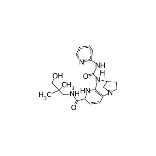 CC(C)(CO)CNC(=O)C1C=CC2=C(N1)N(C(=O)Nc1ccccn1)[C@H]1CCN2C1